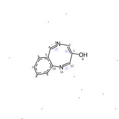 OC1=C/N=C\c2ccccc2/N=C\1